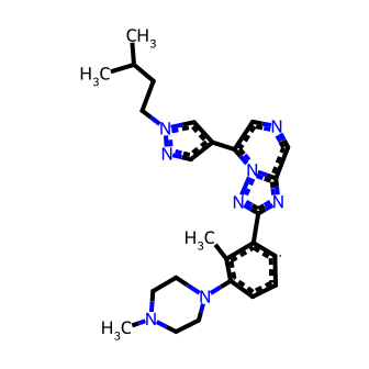 Cc1c(-c2nc3cncc(-c4cnn(CCC(C)C)c4)n3n2)[c]ccc1N1CCN(C)CC1